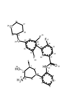 C[C@H]1CN(c2ccncc2NC(=O)c2ccc(F)c(-c3c(F)cc(OC4CCCOC4)cc3F)n2)C[C@@H](N)[C@@H]1O